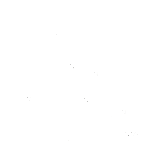 CNc1ccc(O)cc1C(=N)c1cnc2c(n1)c(C(=O)OC)cn2C(c1ccccc1)(c1ccccc1)c1ccccc1